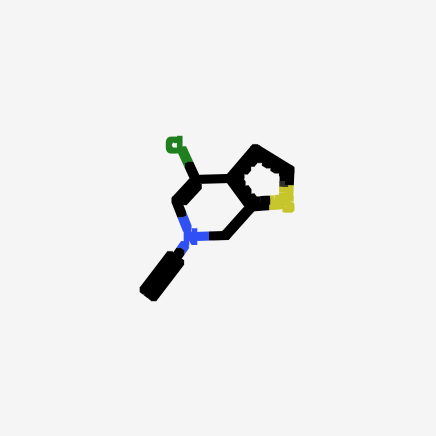 C#CN1C=C(Cl)c2ccsc2C1